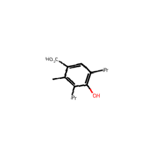 Cc1c(C(=O)O)cc(C(C)C)c(O)c1C(C)C